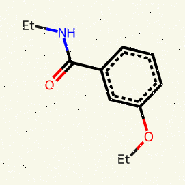 CCNC(=O)c1cccc(OCC)c1